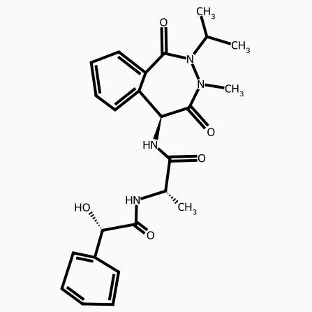 CC(C)N1C(=O)c2ccccc2[C@H](NC(=O)[C@H](C)NC(=O)[C@@H](O)c2ccccc2)C(=O)N1C